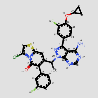 CCC(c1cc2scc(Cl)n2c(=O)c1-c1cccc(F)c1)n1nc(-c2ccc(OC3CC3)c(F)c2)c2c(N)ncnc21